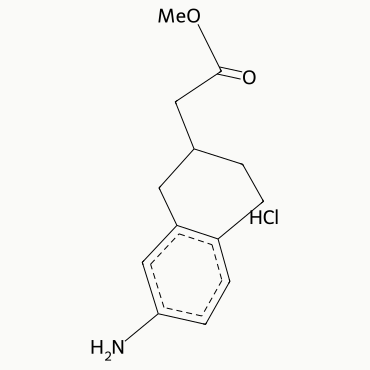 COC(=O)CC1CCc2ccc(N)cc2C1.Cl